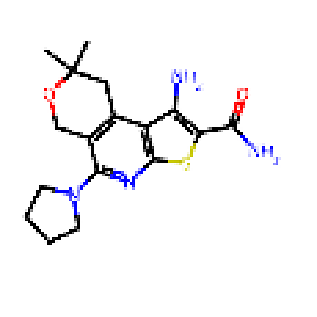 CC1(C)Cc2c(c(N3CCCC3)nc3sc(C(N)=O)c(N)c23)CO1